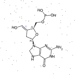 Nc1nc2c(c(=O)[nH]1)NCN2[C@H]1C/C(=C\O)[C@@H](COP(O)O)O1